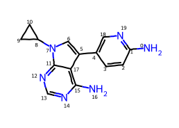 Nc1ccc(-c2cn(C3CC3)c3ncnc(N)c23)cn1